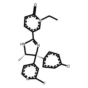 CCn1cc(C2=N[C@@](c3ccc(Cl)cc3)(c3ccnc(F)c3)[C@H](C)N2)ccc1=O